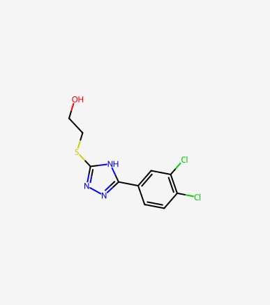 OCCSc1nnc(-c2ccc(Cl)c(Cl)c2)[nH]1